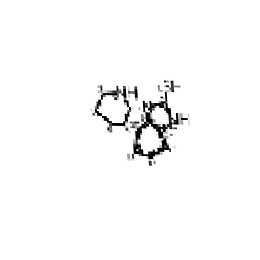 C1CCNCC1.Sc1nc2ccccc2[nH]1